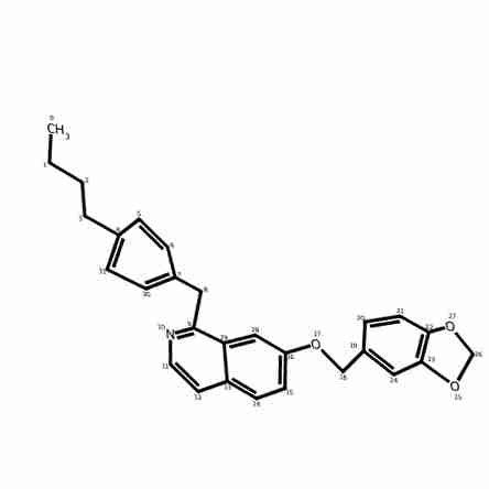 CCCCc1ccc(Cc2nccc3ccc(OCc4ccc5c(c4)OCO5)cc23)cc1